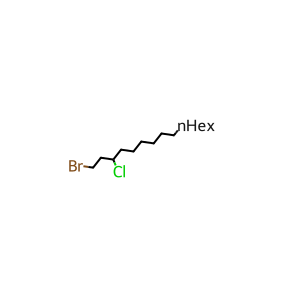 CCCCCCCCCCCCC(Cl)CCBr